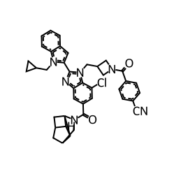 N#Cc1ccc(C(=O)N2CC(Cn3c(-c4cc5ccccc5n4CC4CC4)nc4cc(C(=O)N5CC6CC7CC58C6[C@@H]78)cc(Cl)c43)C2)cc1